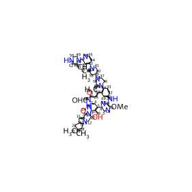 COc1ncc(-c2ccnc(N3CCn4c(cc5c4CC(C)(C)C5)C3=O)c2CO)nc1Nc1ccc(N2CCN(C3CCN(c4ccnc(N5CCNC[C@@H]5C)c4)[C@H](C)C3)C[C@@H]2C)c(C=CC(=O)NC=O)c1